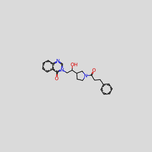 O=C(CCc1ccccc1)N1CCC(C(O)Cn2cnc3ccccc3c2=O)C1